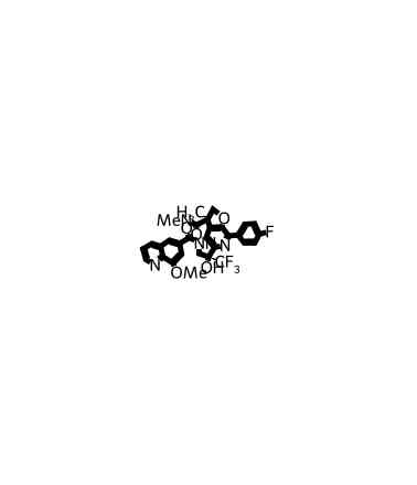 CNC(=O)[C@@]1(C)COc2c1cc([C@@](O)(CNC(=O)c1cc(OC)c3ncccc3c1)C(F)(F)F)nc2-c1ccc(F)cc1